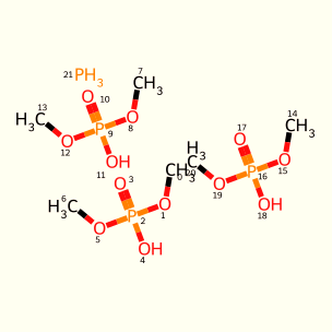 COP(=O)(O)OC.COP(=O)(O)OC.COP(=O)(O)OC.P